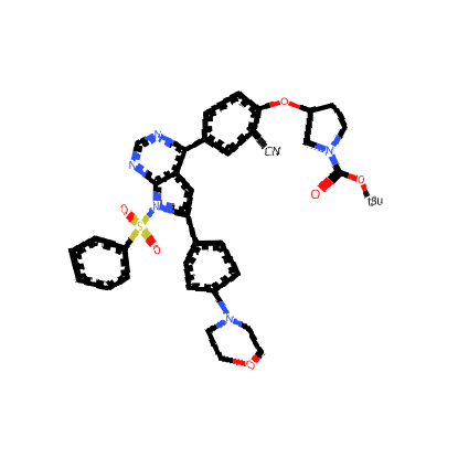 CC(C)(C)OC(=O)N1CCC(Oc2ccc(-c3ncnc4c3cc(-c3ccc(N5CCOCC5)cc3)n4S(=O)(=O)c3ccccc3)cc2C#N)C1